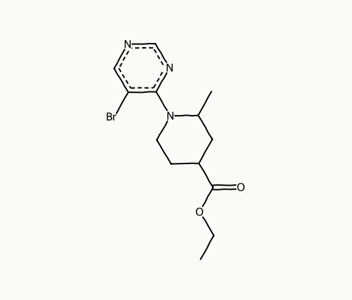 CCOC(=O)C1CCN(c2ncncc2Br)C(C)C1